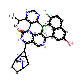 CC(C)c1ncnc(C(C)C)c1-n1c(=O)nc(C2C3C4CCC(C[C@H]23)N4)c2cnc(-c3cc(O)cc4ccc(F)c(Cl)c34)c(F)c21